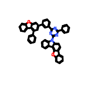 c1ccc(-c2nc(-c3cccc(-c4cc(-c5ccccc5)c5c(c4)oc4ccccc45)c3)nc(-n3c4ccccc4c4c5oc6ccccc6c5ccc43)n2)cc1